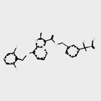 Cc1nc2c(OCc3c(F)cccc3F)cccn2c1C(=O)NCc1cccc(C(C)(C)C(=O)O)c1